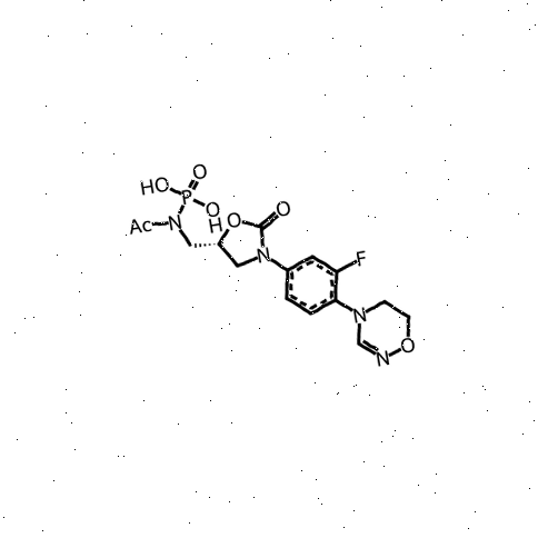 CC(=O)N(C[C@H]1CN(c2ccc(N3C=NOCC3)c(F)c2)C(=O)O1)P(=O)(O)O